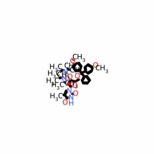 COc1ccc(C(OCC2OC(n3cc(C)c(=O)[nH]c3=O)CC2OP(N(C(C)C)C(C)C)N(C(C)C)C(C)C)(c2ccccc2)c2ccc(OC)cc2)cc1